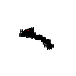 CC(C)[C@@H](C(=O)N1[C@@H]2C[C@@H]2C[C@H]1c1nc(-c2ccc3cc(-c4ccc(-c5cnc([C@@H]6C[C@H]7C[C@H]7N6)[nH]5)cc4)ccc3c2)c[nH]1)N(C)C(=O)O